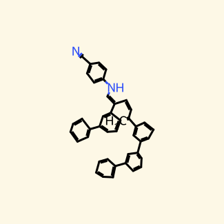 C=C(/C=C\C(=C/Nc1ccc(C#N)cc1)c1cccc(-c2ccccc2)c1)c1cccc(-c2cccc(-c3ccccc3)c2)c1